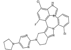 CCc1cccc(CC)c1-n1nc2c(c1-c1c(F)cc(Cl)c3[nH]ccc13)CN(c1ncc(N3CCCC3)cn1)CC2